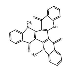 Cn1c2ccccc2c(=O)c2c1c1c(=O)c3ccccc3[nH]c1c1c(=O)c3ccccc3n(C)c12